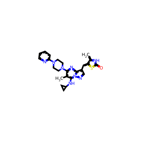 C=c1[nH]c(=O)s/c1=C\c1cnn2c(NC3CC3)c(C)c(N3CCN(c4ccccn4)CC3)nc12